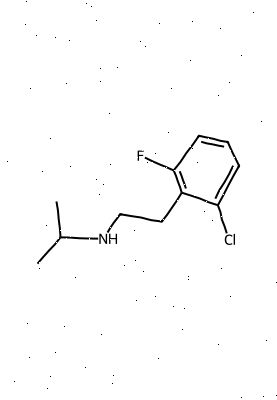 CC(C)NCCc1c(F)cccc1Cl